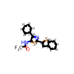 O=C(Nc1sc(-c2cc3ccccc3s2)nc1-c1ccccc1)C(F)(F)F